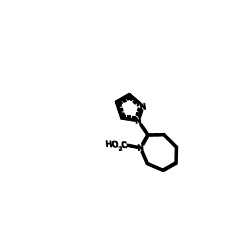 O=C(O)N1CCCCCC1n1cccn1